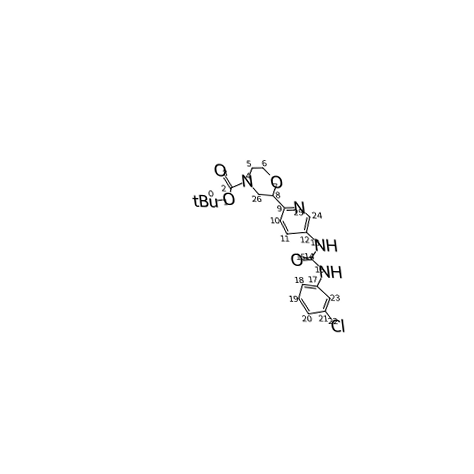 CC(C)(C)OC(=O)N1CCOC(c2ccc(NC(=O)Nc3cccc(Cl)c3)cn2)C1